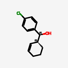 O[C@H](c1ccc(Cl)cc1)[C@H]1C=CCCC1